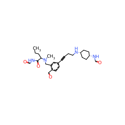 CCCC(C(=O)NC=O)N(C)Cc1cc(C#CCCN[C@H]2CC[C@@H](NC=O)CC2)ccc1C=O